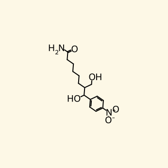 NC(=O)CCCCCC(CO)C(O)c1ccc([N+](=O)[O-])cc1